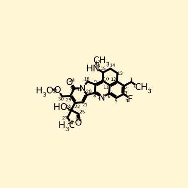 CCc1c(F)cc2nc3c(c4c2c1CCC4NC)Cn1c-3cc([C@](O)(C=O)CC)c(COC)c1=O